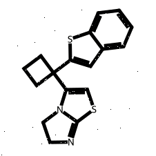 C1=C(C2(c3cc4ccccc4s3)CCC2)N2CCN=C2S1